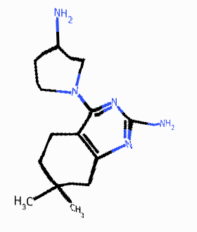 CC1(C)CCc2c(nc(N)nc2N2CCC(N)C2)C1